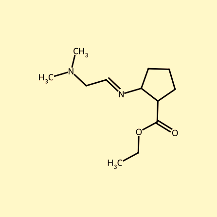 CCOC(=O)C1CCCC1/N=C/CN(C)C